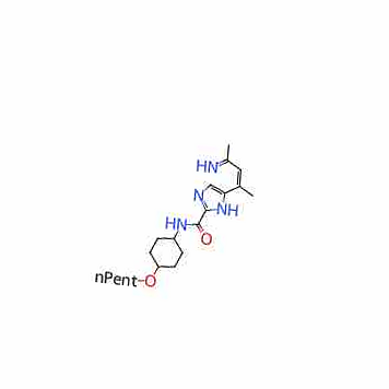 CCCCCOC1CCC(NC(=O)c2ncc(/C(C)=C\C(C)=N)[nH]2)CC1